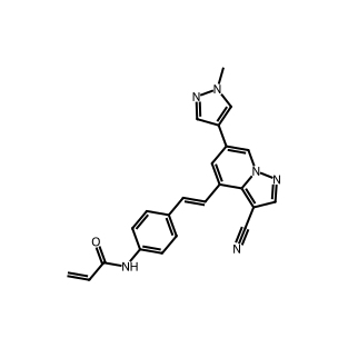 C=CC(=O)Nc1ccc(/C=C/c2cc(-c3cnn(C)c3)cn3ncc(C#N)c23)cc1